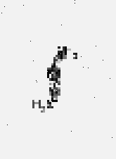 C=CCOc1ccc(-c2ccc(-c3ncc(CCCCCC(C)F)cn3)cc2)cc1